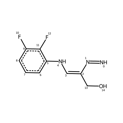 N=N/C(=C\Nc1cccc(F)c1F)CO